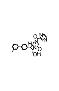 Cc1cccc(-c2ccc([C@@H]3[C@@H](CO)N4C(=O)CN(C(=O)c5cnccn5)C[C@@H]34)cc2)c1